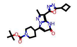 Cc1nn2c(C3CCN(C(=O)OC(C)(C)C)CC3)cc(=O)[nH]c2c1-c1nnc(C2CCC2)o1